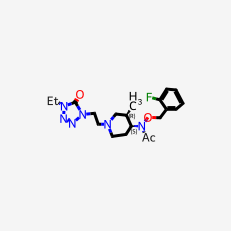 CCn1nnn(CCN2CC[C@H](N(OCc3ccccc3F)C(C)=O)[C@H](C)C2)c1=O